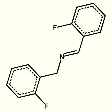 Fc1ccccc1C=NCc1ccccc1F